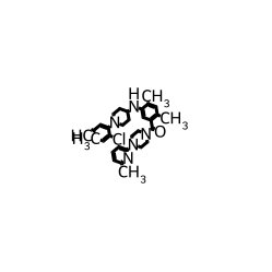 C#C/C=C(\C(Cl)=C/C)N1CCC(Nc2cc(C(=O)N3CCN(c4cccc(C)n4)CC3)c(C)cc2C)CC1